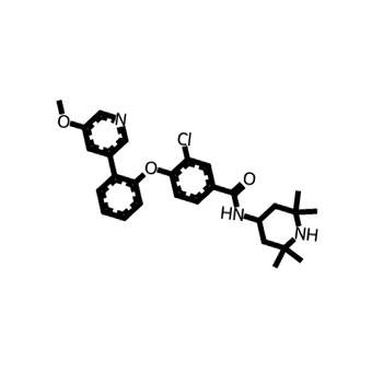 COc1cncc(-c2ccccc2Oc2ccc(C(=O)NC3CC(C)(C)NC(C)(C)C3)cc2Cl)c1